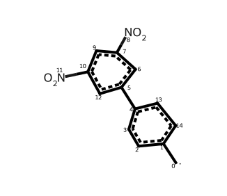 [CH2]c1ccc(-c2cc([N+](=O)[O-])cc([N+](=O)[O-])c2)cc1